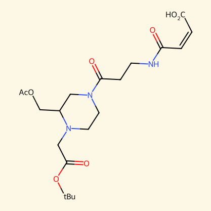 CC(=O)OCC1CN(C(=O)CCNC(=O)/C=C\C(=O)O)CCN1CC(=O)OC(C)(C)C